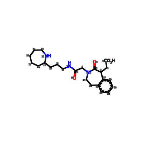 O=C(O)CC1C(=O)N(CC(=O)NCCCC2CCCCCN2)CCc2ccccc21